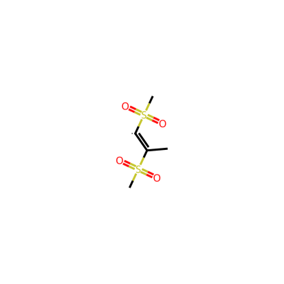 CC(=[C]S(C)(=O)=O)S(C)(=O)=O